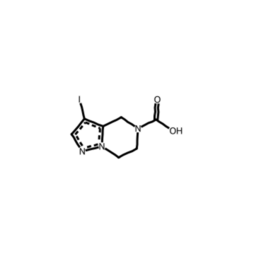 O=C(O)N1CCn2ncc(I)c2C1